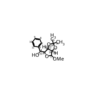 COC1O[C@H]([C@@H](O)c2ccccc2)[C@H]2OC(C)(C)O[C@@H]12